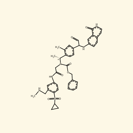 CNCc1cc(NC(=O)CN(C(=O)OCc2ccccc2)[C@H](C)c2ccc(C(C=O)Nc3ccc4cc[nH]c(=O)c4c3)cc2C)ccc1S(=O)(=O)C1CC1